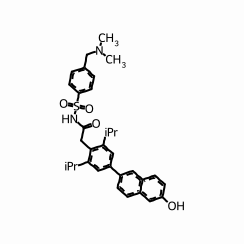 CC(C)c1cc(-c2ccc3cc(O)ccc3c2)cc(C(C)C)c1CC(=O)NS(=O)(=O)c1ccc(CN(C)C)cc1